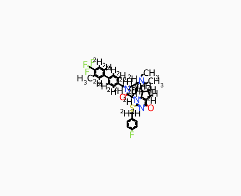 [2H]c1c([2H])c(C([2H])([2H])N(C(=O)C([2H])([2H])n2c(SC([2H])([2H])c3ccc(F)cc3)nc(=O)c3c2C([2H])([2H])C([2H])([2H])C3([2H])[2H])C([2H])([2H])C([2H])([2H])N(CC)CC)c([2H])c([2H])c1-c1c([2H])c([2H])c(C(F)(F)F)c(C)c1[2H]